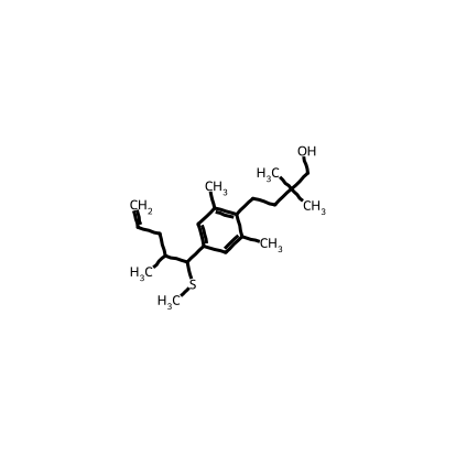 C=CCC(C)C(SC)c1cc(C)c(CCC(C)(C)CO)c(C)c1